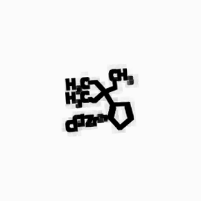 CCC(CC)(CC)C1=[C]([Zr+2])CC=C1.[Cl-].[Cl-]